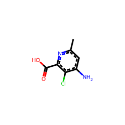 Cc1cc(N)c(Cl)c(C(=O)O)n1